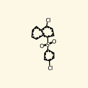 O=S(=O)(c1ccc(Cl)cc1)c1ccc(Cl)c2ccccc12